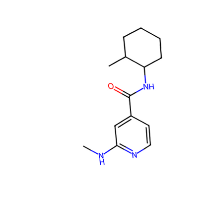 CNc1cc(C(=O)NC2CCCCC2C)ccn1